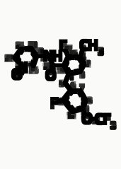 Cc1ccc(Cc2ccc(OC(F)(F)F)cc2F)c(C(=O)Nc2ccc[n+]([O-])c2)c1F